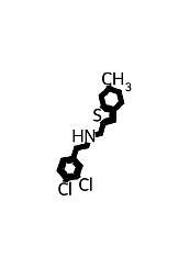 CC1CCc2cc(CNCCc3ccc(Cl)c(Cl)c3)sc2C1